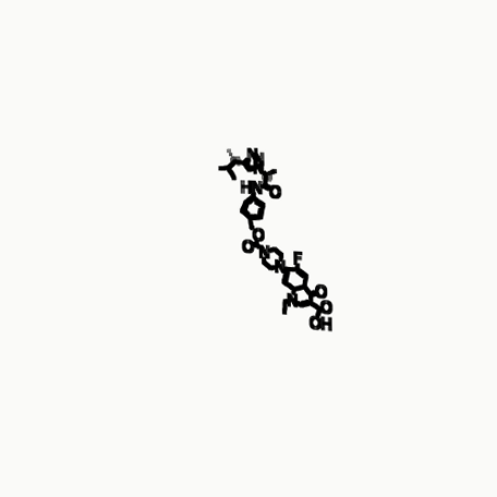 CCN1C=C(C(=O)O)C(=O)C2C=C(F)C(N3CCN(C(=O)OCc4ccc(NC(=O)[C@H](C)n5cc([C@@H](C)C(C)C)nn5)cc4)CC3)=CC21